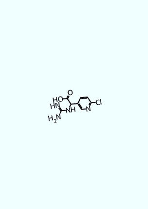 N=C(N)NC(C(=O)O)c1ccc(Cl)nc1